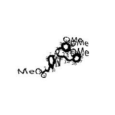 COC(=O)C=Cc1ccc2c(c1)nc(CCc1ccccc1)n2Cc1cc(OC)c(OC)c(OC)c1